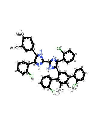 COc1ccc(-c2[nH]c(-c3nc(-c4ccccc4Cl)c(-c4cc(-c5ccccc5Cl)c(OC)c(OC)c4-c4ccccc4Cl)[nH]3)nc2-c2ccccc2Cl)cc1OC